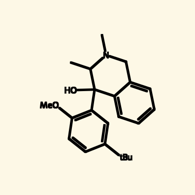 COc1ccc(C(C)(C)C)cc1C1(O)c2ccccc2CN(C)C1C